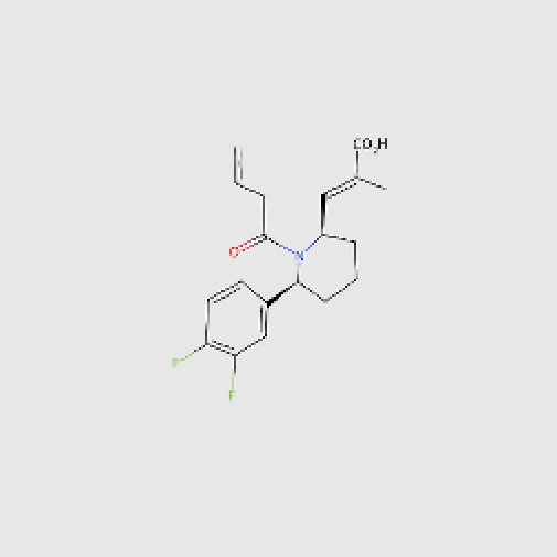 C=CCC(=O)N1[C@@H](/C=C(\C)C(=O)O)CCC[C@H]1c1ccc(F)c(F)c1